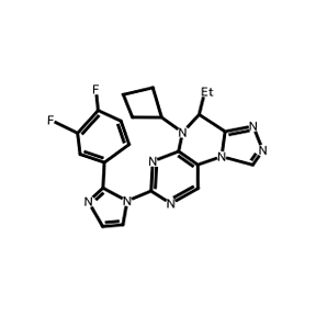 CCC1c2nncn2-c2cnc(-n3ccnc3-c3ccc(F)c(F)c3)nc2N1C1CCC1